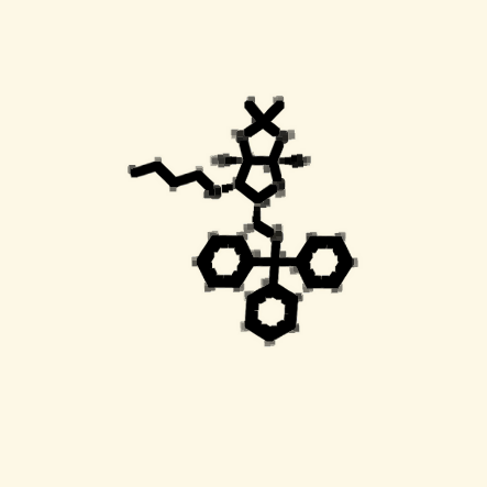 CCCCO[C@@H]1[C@H]2OC(C)(C)O[C@H]2O[C@@H]1COC(c1ccccc1)(c1ccccc1)c1ccccc1